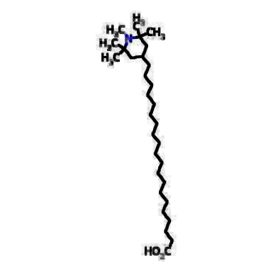 CN1C(C)(C)CC(CCCCCCCCCCCCCCCCCCCC(=O)O)CC1(C)C